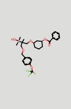 CC(COCc1ccc(OC(F)(F)F)cc1)(CO[C@@H]1CCC[C@H](OC(=O)c2ccccc2)C1)[Si](C)(C)O